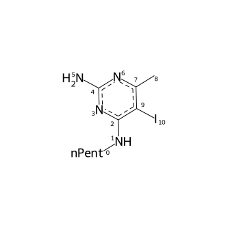 CCCCCNc1nc(N)nc(C)c1I